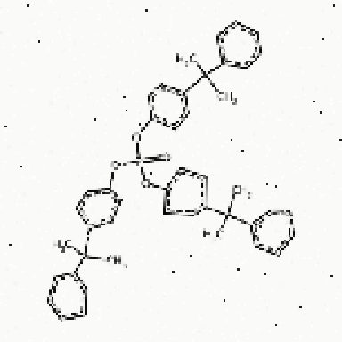 CC(C)(c1ccccc1)c1ccc(OP(=O)(Oc2ccc(C(C)(C)c3ccccc3)cc2)Oc2ccc(C(C)(C)c3ccccc3)cc2)cc1